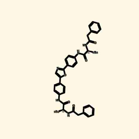 CCCC[C@H](NC(=O)Cc1ccccc1)C(=O)Nc1ccc(-c2cnc(-c3ccc(NC(=O)[C@H](CCCC)NC(=O)Cc4ccccc4)cc3)o2)cc1